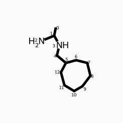 CC(N)NCC1CCCCCCC1